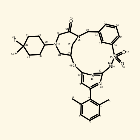 Cc1cccc(C)c1-c1cc2nc(n1)NS(=O)(=O)c1cccc(c1)CN1CC(CN(C3CCC(F)(F)CC3)CC1=O)O2